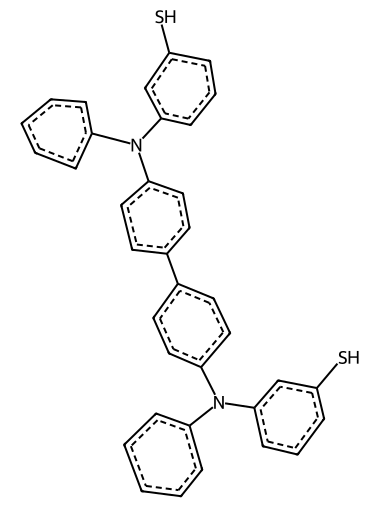 Sc1cccc(N(c2ccccc2)c2ccc(-c3ccc(N(c4ccccc4)c4cccc(S)c4)cc3)cc2)c1